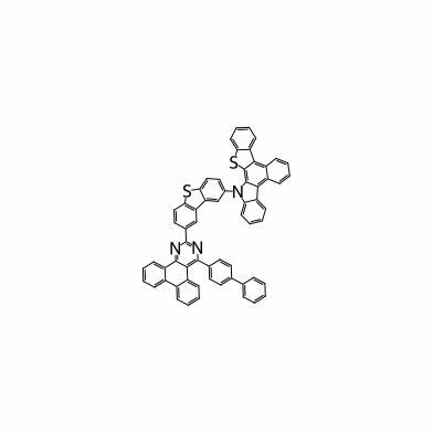 c1ccc(-c2ccc(-c3nc(-c4ccc5sc6ccc(-n7c8ccccc8c8c9ccccc9c9c%10ccccc%10sc9c87)cc6c5c4)nc4c5ccccc5c5ccccc5c34)cc2)cc1